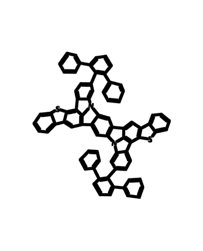 c1ccc(-c2cccc(-c3ccccc3)c2-c2ccc3c4c5sc6ccccc6c5cc5c6cc7c(cc6n(c3c2)c54)c2cc3c4ccccc4sc3c3c4ccc(-c5c(-c6ccccc6)cccc5-c5ccccc5)cc4n7c23)cc1